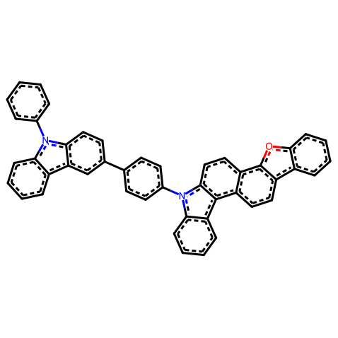 c1ccc(-n2c3ccccc3c3cc(-c4ccc(-n5c6ccccc6c6c7ccc8c9ccccc9oc8c7ccc65)cc4)ccc32)cc1